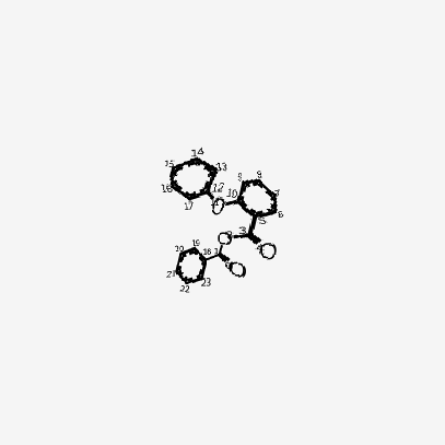 O=C(OC(=O)c1ccccc1Oc1ccccc1)c1ccccc1